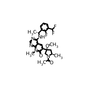 CO[C@@]1(c2cc3c(N[C@H](C)c4cccc(C(F)F)c4F)ncnc3n(C)c2=O)C[C@@H](C)N(C(C)=O)C1